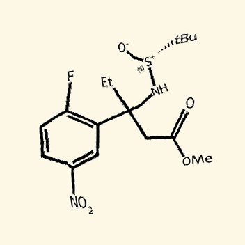 CCC(CC(=O)OC)(N[S@+]([O-])C(C)(C)C)c1cc([N+](=O)[O-])ccc1F